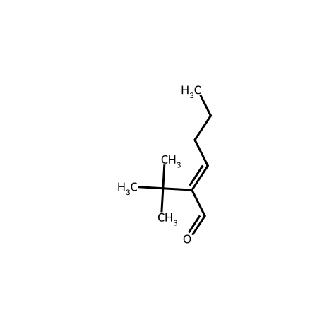 CCC/C=C(/C=O)C(C)(C)C